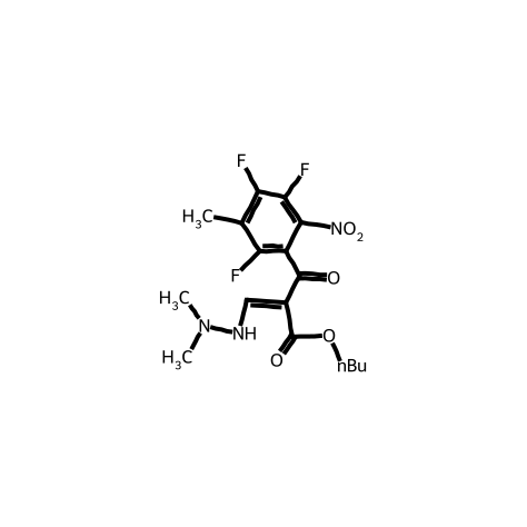 CCCCOC(=O)C(=CNN(C)C)C(=O)c1c(F)c(C)c(F)c(F)c1[N+](=O)[O-]